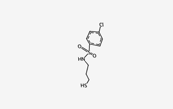 O=S(=O)(NCCCS)c1ccc(Cl)cc1